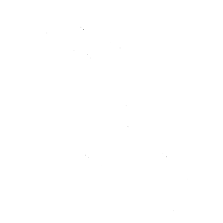 c1ccc(-c2ccc3c(ccc4c5ccccc5nc(-c5ccc(-c6cccc(-c7cn8ccccc8n7)c6)cc5)c34)n2)cc1